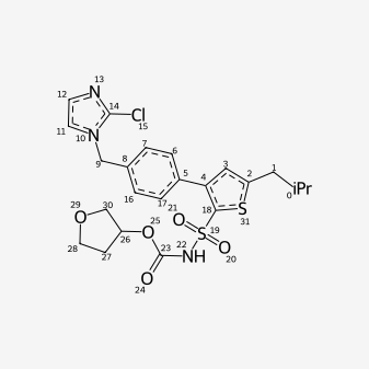 CC(C)Cc1cc(-c2ccc(Cn3ccnc3Cl)cc2)c(S(=O)(=O)NC(=O)OC2CCOC2)s1